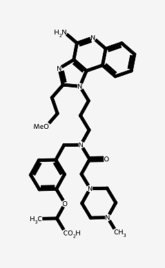 COCCc1nc2c(N)nc3ccccc3c2n1CCCN(Cc1cccc(OC(C)C(=O)O)c1)C(=O)CN1CCN(C)CC1